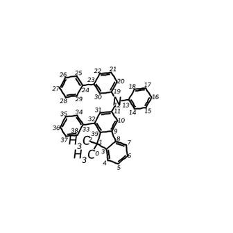 CC1(C)c2ccccc2-c2cc(N(c3ccccc3)c3cccc(-c4ccccc4)c3)cc(-c3ccccc3)c21